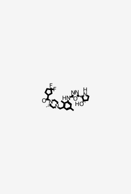 Cc1cc(CN2CCN(C(=O)C3CCC(F)(F)C3)[C@@H](C)C2)c(C)c(Nc2nnc([C@H]3NCC[C@H]3O)o2)c1